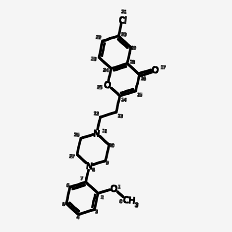 COc1ccccc1N1CCN(CCc2cc(=O)c3cc(Cl)ccc3o2)CC1